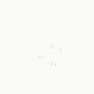 OC[C@@]1(c2nccc(-c3ccc4ccccc4c3)n2)CCCNC1